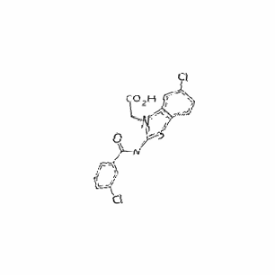 O=C(O)Cn1c(=NC(=O)c2cccc(Cl)c2)sc2ccc(Cl)cc21